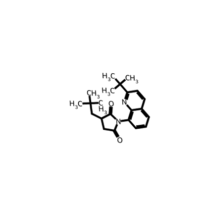 CC(C)(C)CC1CC(=O)N(c2cccc3ccc(C(C)(C)C)nc23)C1=O